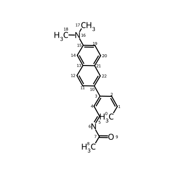 C\C=C/C(=C\C=N\C(C)=O)c1ccc2cc(N(C)C)ccc2c1